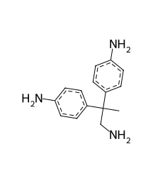 CC(CN)(c1ccc(N)cc1)c1ccc(N)cc1